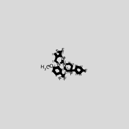 COc1ccc(C(F)(F)F)cc1N1Cc2csc(F)c2N=C1N1CCC(F)(c2ccc(F)cc2)CC1